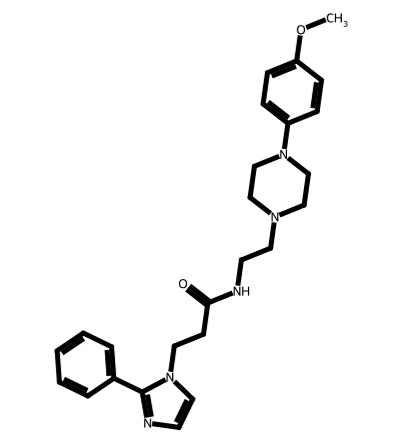 COc1ccc(N2CCN(CCNC(=O)CCn3ccnc3-c3ccccc3)CC2)cc1